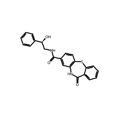 O=C(NC[C@H](O)c1ccccc1)c1ccc2c(c1)NC(=O)c1ccccc1S2